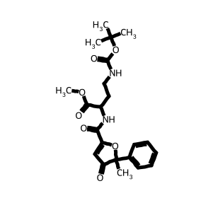 COC(=O)C(CCNC(=O)OC(C)(C)C)NC(=O)C1=CC(=O)C(C)(c2ccccc2)O1